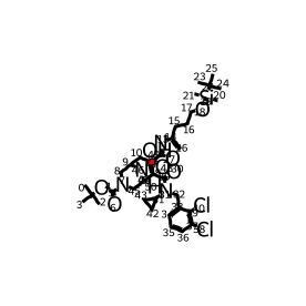 CC(C)(C)OC(=O)N1CC2CC(c3nc(CCCO[Si](C)(C)C(C)(C)C)co3)=C(C(=O)N(Cc3cccc(Cl)c3Cl)C3CC3)[C@@H](C1)N2C(=O)O